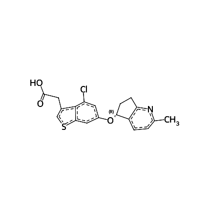 Cc1ccc2c(n1)CC[C@H]2Oc1cc(Cl)c2c(CC(=O)O)csc2c1